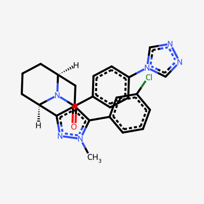 Cn1nc2c(c1-c1cccc(Cl)c1)C[C@@H]1CCC[C@H]2N1C(=O)c1ccc(-n2cnnc2)cc1